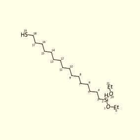 CCO[SiH](CCCCCCCCCCCCCCCCS)OCC